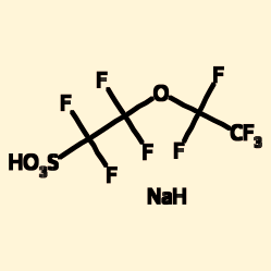 O=S(=O)(O)C(F)(F)C(F)(F)OC(F)(F)C(F)(F)F.[NaH]